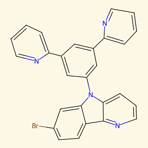 Brc1ccc2c3ncccc3n(-c3cc(-c4ccccn4)cc(-c4ccccn4)c3)c2c1